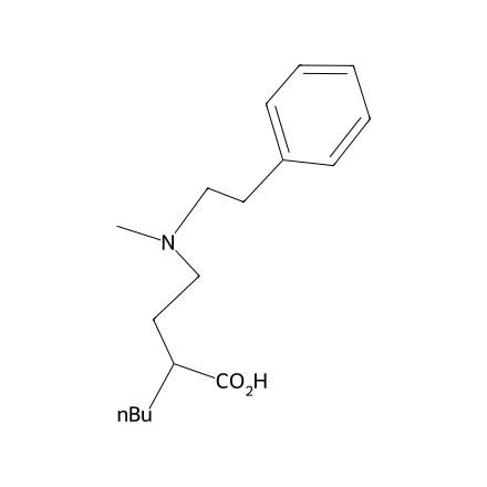 CCCCC(CCN(C)CCc1ccccc1)C(=O)O